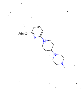 COc1cccc(N2CCC(N3CCN(C)CC3)CC2)n1